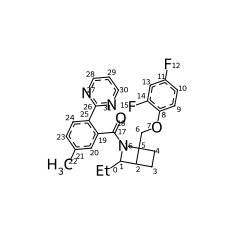 CCC1C2CCC2(COc2ccc(F)cc2F)N1C(=O)c1cc(C)ccc1-c1ncccn1